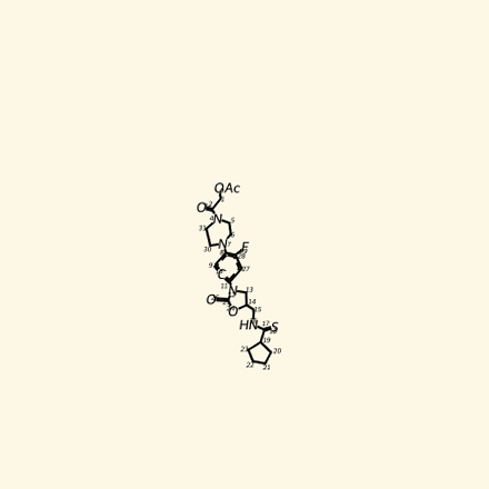 CC(=O)OCC(=O)N1CCN(c2ccc(N3CC(CNC(=S)C4CCCC4)OC3=O)cc2F)CC1